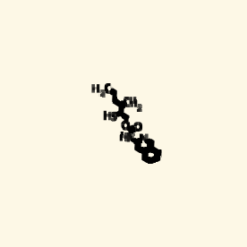 C=CCC(=C)C(S)COC(=O)Nc1cc2ccccc2cn1